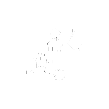 CC(C)CC(C#N)C(=O)N1CCC[C@@H]1CNC(=O)N[C@@H](Cc1ccccc1)B(O)O